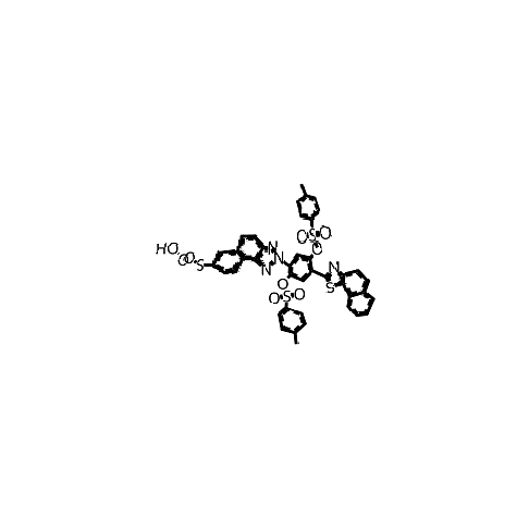 Cc1ccc(S(=O)(=O)Oc2cc(-n3nc4ccc5cc(SOOO)ccc5c4n3)c(OS(=O)(=O)c3ccc(C)cc3)cc2-c2nc3ccc4ccccc4c3s2)cc1